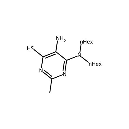 CCCCCCN(CCCCCC)c1nc(C)nc(S)c1N